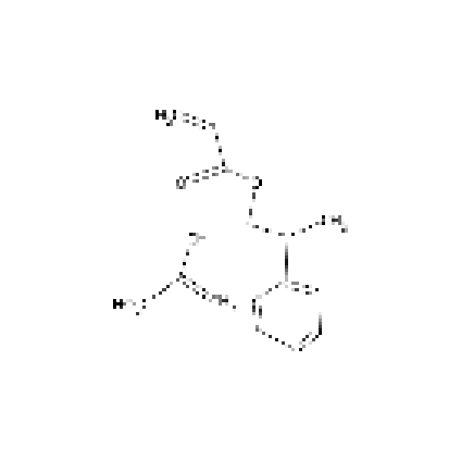 C=C(C)C(=O)O.C=CC(=O)OCC(C)c1ccccc1